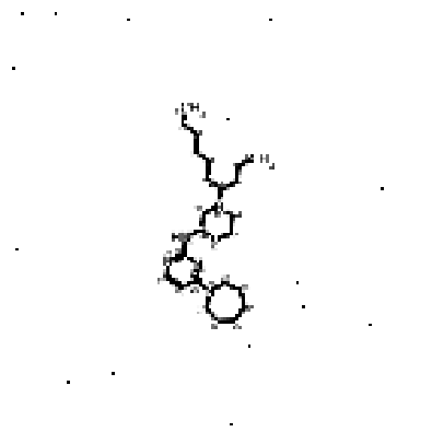 CCCCCCC(CCC)N1CCCC(Nc2nccc(N3CCCCCC3)n2)C1